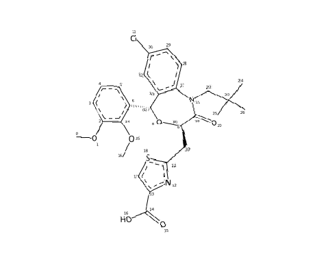 COc1cccc([C@H]2O[C@H](Cc3nc(C(=O)O)cs3)C(=O)N(CC(C)(C)C)c3ccc(Cl)cc32)c1OC